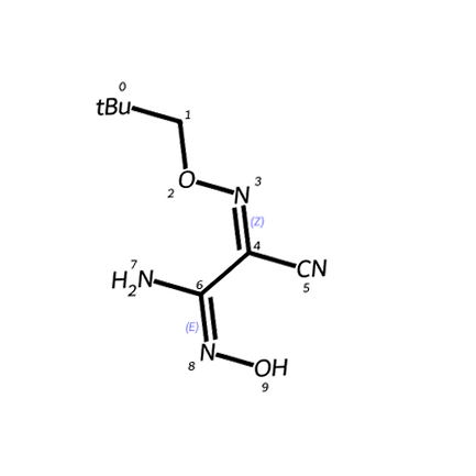 CC(C)(C)CO/N=C(C#N)\C(N)=N/O